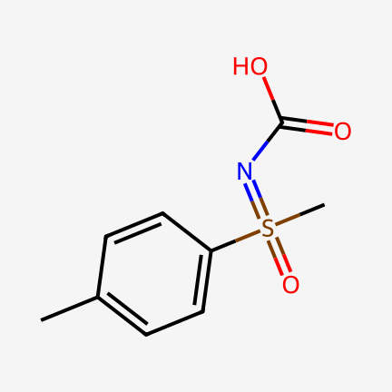 Cc1ccc(S(C)(=O)=NC(=O)O)cc1